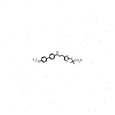 CC(C)(Sc1nc(CCNc2ccc(-c3ccc(OC(F)(F)F)cc3)cc2)cs1)C(=O)O